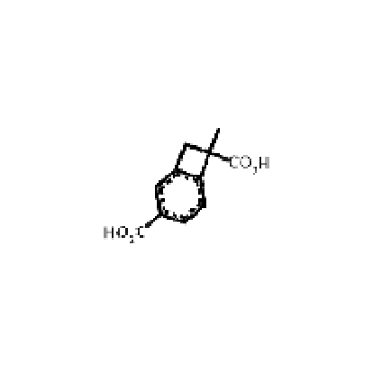 CC1(C(=O)O)Cc2cc(C(=O)O)ccc21